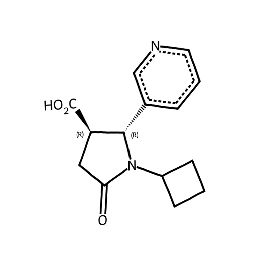 O=C(O)[C@@H]1CC(=O)N(C2CCC2)[C@H]1c1cccnc1